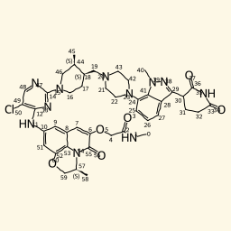 CNC(=O)COc1cc2cc(Nc3nc(N4CC[C@H](CN5CCN(c6cccc7c(C8CCC(=O)NC8=O)nn(C)c67)CC5)[C@H](C)C4)ncc3Cl)cc3c2n(c1=O)[C@@H](C)CO3